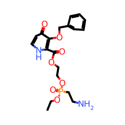 CCOP(=O)(CCN)OCCOC(=O)c1[nH]ccc(=O)c1OCc1ccccc1